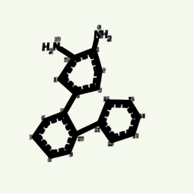 Nc1ccc(-c2ccccc2-c2ccccc2)cc1N